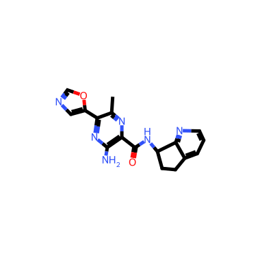 Cc1nc(C(=O)NC2CCc3cccnc32)c(N)nc1-c1cnco1